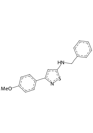 COc1ccc(-c2cc(NCc3ccccc3)sn2)cc1